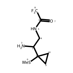 CSC1(C(N)CNC(=O)C(F)(F)F)CC1